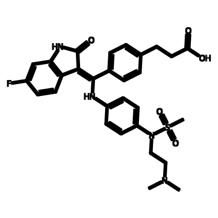 CN(C)CCN(c1ccc(NC(=C2C(=O)Nc3cc(F)ccc32)c2ccc(CCC(=O)O)cc2)cc1)S(C)(=O)=O